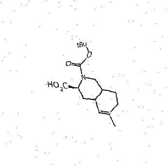 CC1=CC2C[C@@H](C(=O)O)N(C(=O)OC(C)(C)C)CC2CC1